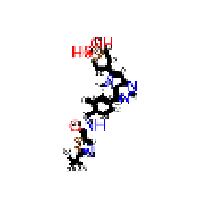 Cc1cc(-c2ncnc3cc(C4CCS(O)(O)CC4)n(C)c23)ccc1CNC(=O)c1cnc(C(C)(C)C)s1